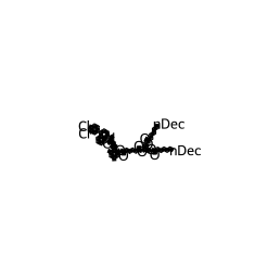 CCCCCCCCCCCCCCCC(=O)OCC(COC(=O)CCCCCCCCCCCCCCC)OC(=O)CCCCC(=O)Oc1cc(C)cc(C)c1C(C)(C)CC(=O)N(C)[C@H]1CC[C@@H](c2ccc(Cl)c(Cl)c2)c2ccccc21